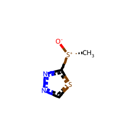 C[S@@+]([O-])c1nncs1